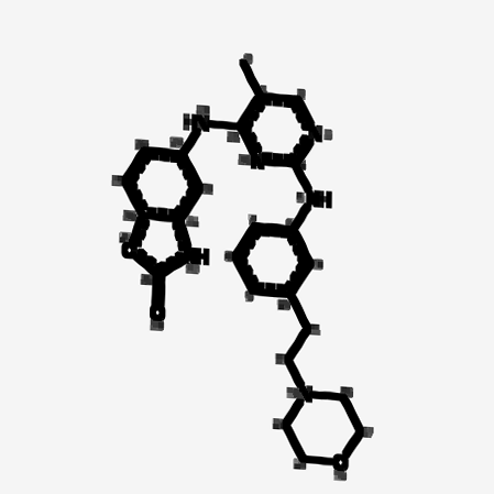 Cc1cnc(Nc2cccc(CCN3CCOCC3)c2)nc1Nc1ccc2oc(=O)[nH]c2c1